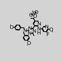 COc1ccc(CN(Cc2ccc(OC)cc2)c2nc(C)nc(-c3cc(C(C)OS(C)(=O)=O)cnc3Nc3cnc(OC)c(F)c3)n2)cc1